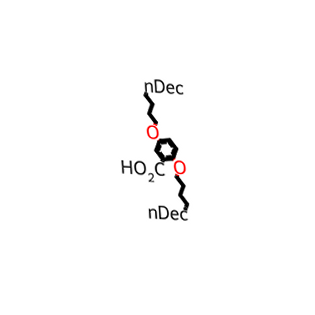 CCCCCCCCCCCCCCOc1ccc(OCCCCCCCCCCCCCC)c(C(=O)O)c1